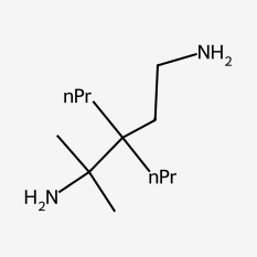 CCCC(CCC)(CCN)C(C)(C)N